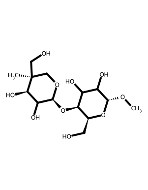 CO[C@@H]1O[C@@H](CO)[C@@H](O[C@@H]2OC[C@](C)(CO)[C@H](O)C2O)C(O)C1O